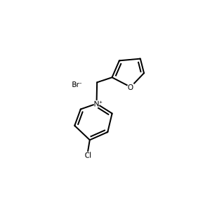 Clc1cc[n+](Cc2ccco2)cc1.[Br-]